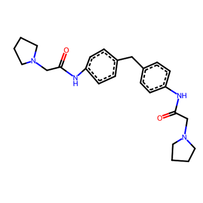 O=C(CN1CCCC1)Nc1ccc(Cc2ccc(NC(=O)CN3CCCC3)cc2)cc1